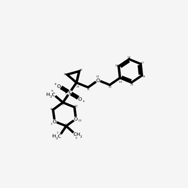 CC1(C)OCC(C)(S(=O)(=O)C2(COCc3ccccc3)CC2)CO1